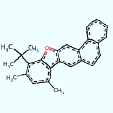 Cc1cc(C)c2c(oc3cc4c(ccc5ccccc54)cc32)c1C(C)(C)C